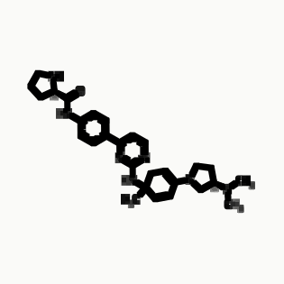 CN(C)[C@@H]1CCN(C2=CCC(C)(Nc3nccc(-c4ccc(NC(=O)[C@H]5CCCN5)cc4)n3)C=C2)C1